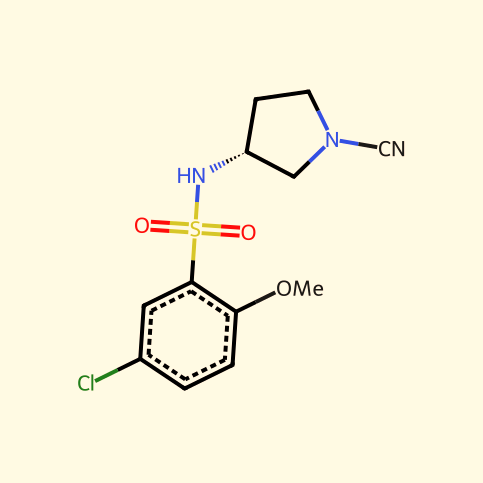 COc1ccc(Cl)cc1S(=O)(=O)N[C@@H]1CCN(C#N)C1